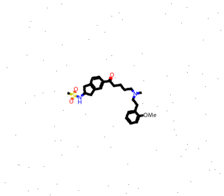 COc1ccccc1CCN(C)CCCCC(=O)c1ccc2c(c1)CC(NS(C)(=O)=O)C2